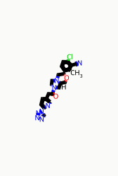 Cc1c([C@H]2CN3CCN(C(=O)Cc4ccc(-n5cnnn5)nc4)C[C@H]3CO2)ccc(Cl)c1C#N